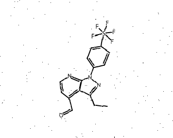 CCc1nn(-c2ccc(S(F)(F)(F)(F)F)cc2)c2nccc(C=O)c12